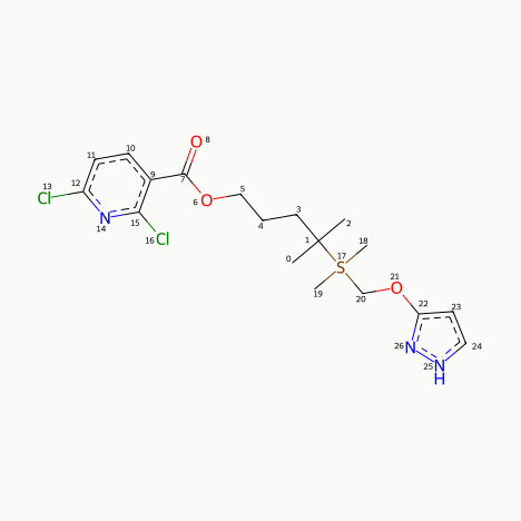 CC(C)(CCCOC(=O)c1ccc(Cl)nc1Cl)S(C)(C)COc1cc[nH]n1